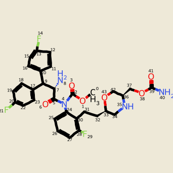 COC(=O)N(C(=O)[C@@H](N)C(c1ccc(F)cc1)c1ccc(F)cc1)c1cccc(F)c1CC[C@@H]1CN[C@H](COC(N)=O)CO1